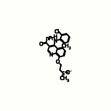 CCCC(=O)c1cnc2c(OCC[S+](C)[O-])cccc2c1Nc1c(C)cccc1Cl